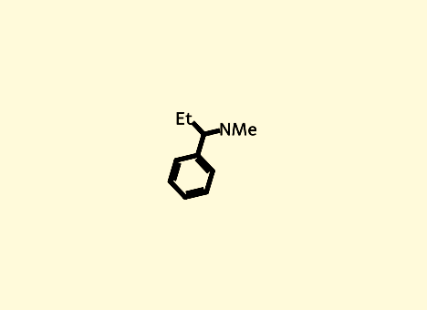 [CH2-][NH2+]C(CC)c1ccccc1